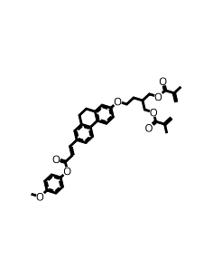 C=C(C)C(=O)OCC(CCOc1ccc2c(c1)CCc1cc(/C=C/C(=O)Oc3ccc(OC)cc3)ccc1-2)COC(=O)C(=C)C